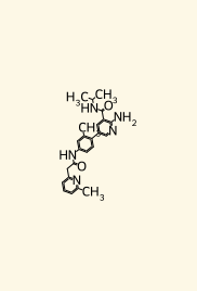 Cc1cccc(CC(=O)Nc2ccc(-c3cnc(N)c(C(=O)NC(C)C)c3)c(C)c2)n1